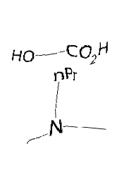 CCCN(C)C.O=C(O)O